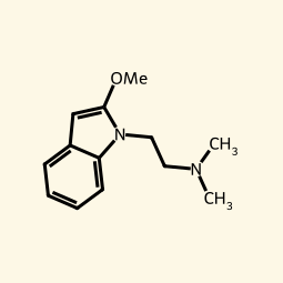 COc1cc2ccccc2n1CCN(C)C